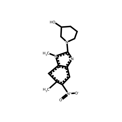 Cc1cc2c(cc1[N+](=O)[O-])nc(N1CCCC(O)C1)n2C